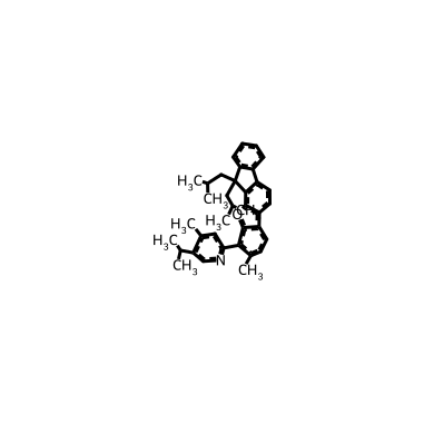 Cc1cc(-c2c(C)ccc3c2oc2c4c(ccc23)-c2ccccc2C4(CC(C)C)CC(C)C)ncc1C(C)C